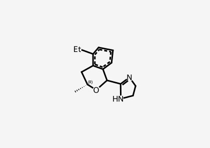 CCc1cccc2c1C[C@@H](C)OC2C1=NCCN1